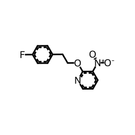 O=[N+]([O-])c1cccnc1OCCc1ccc(F)cc1